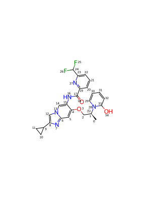 C[C@@H](COc1cc2nc(C3CC3)cn2cc1NC(=O)c1cccc(C(F)F)n1)N1C=CC=CC1O